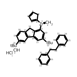 Cl.Cl.[CH2]=[Zr]([C]1=CC=CC1)[c]1cc(C(C)(C)C)cc2c1Cc1ccc(C(C)(C)C)cc1-2.c1ccc(CCc2ccccc2)cc1